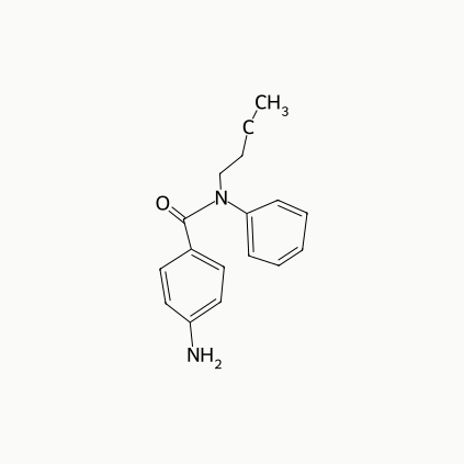 CCCCN(C(=O)c1ccc(N)cc1)c1ccccc1